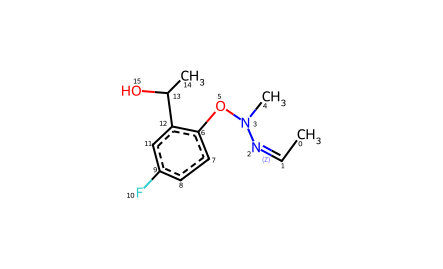 C/C=N\N(C)Oc1ccc(F)cc1C(C)O